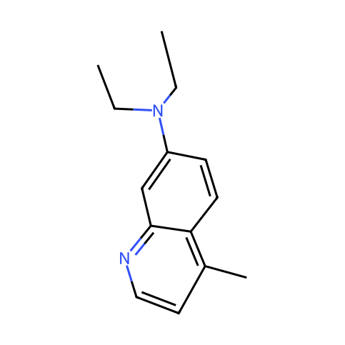 CCN(CC)c1ccc2c(C)ccnc2c1